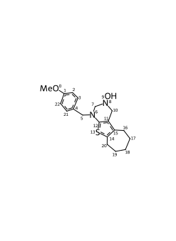 COc1ccc(CN2CN(O)Cc3c2sc2c3CCCCC2)cc1